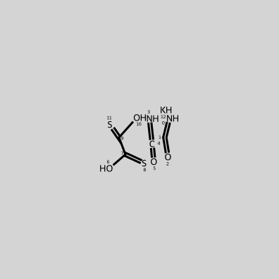 N=C=O.N=C=O.OC(=S)C(O)=S.[KH]